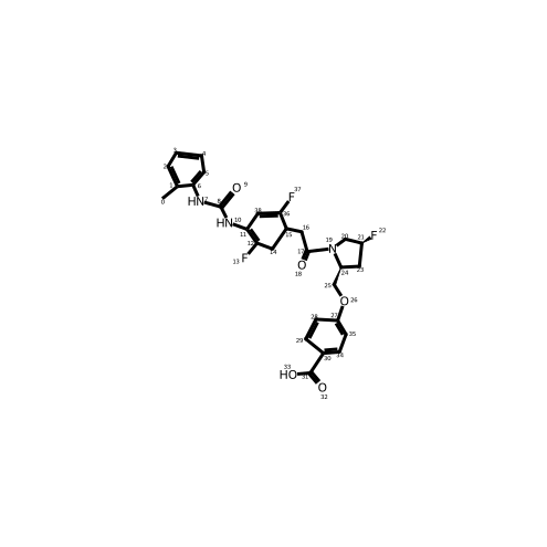 Cc1ccccc1NC(=O)NC1=C(F)CC(CC(=O)N2C[C@@H](F)C[C@H]2COc2ccc(C(=O)O)cc2)C(F)=C1